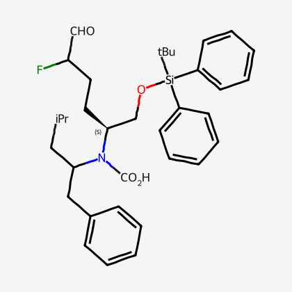 CC(C)CC(Cc1ccccc1)N(C(=O)O)[C@@H](CCC(F)C=O)CO[Si](c1ccccc1)(c1ccccc1)C(C)(C)C